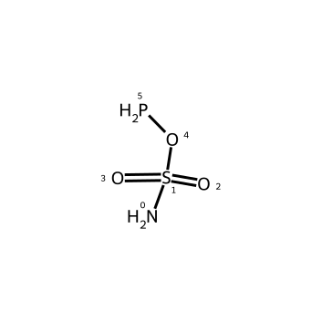 NS(=O)(=O)OP